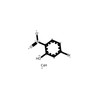 O=[N+]([O-])c1ccc(Br)cc1O.[CsH]